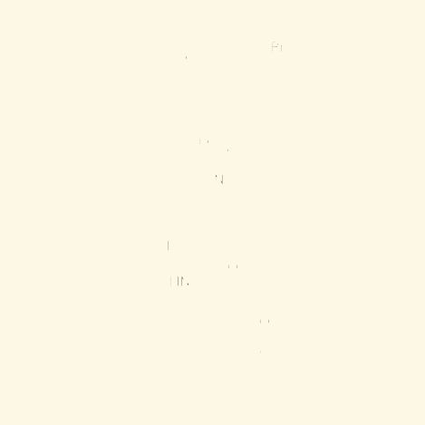 C[C@@H](/C=C/S(C)(=O)=O)NC(=O)C1(F)CCN(S(=O)(=O)c2ccc(Br)cc2-c2ccccc2Cl)CC1